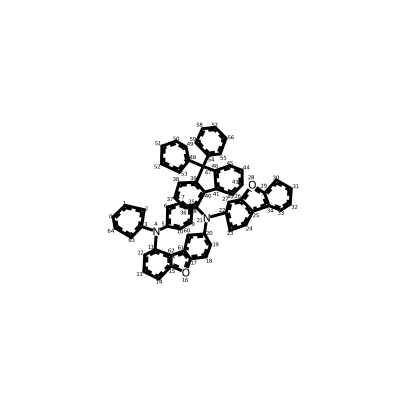 c1ccc(N(c2ccccc2)c2cccc3oc4ccc(N(c5ccc6c(c5)oc5ccccc56)c5cccc6c5-c5ccccc5C6(c5ccccc5)c5ccccc5)cc4c23)cc1